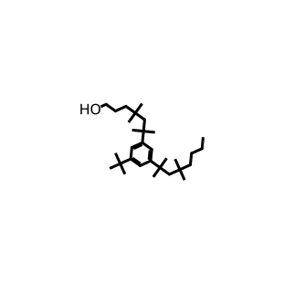 CCCCC(C)(C)CC(C)(C)c1cc(C(C)(C)C)cc(C(C)(C)CC(C)(C)CCCO)c1